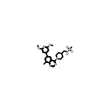 COc1cc(-c2cc(C)c3ncnc(N4CCC(CNS(C)(=O)=O)CC4)c3c2)cc(OC)n1